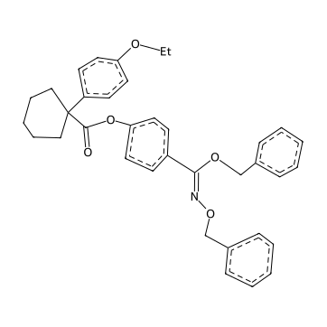 CCOc1ccc(C2(C(=O)Oc3ccc(C(=NOCc4ccccc4)OCc4ccccc4)cc3)CCCCC2)cc1